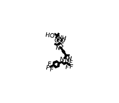 Cc1nc(C#Cc2cnn3c(C(F)(F)F)cc(-c4ccc(C(F)(F)F)cc4)nc23)sc1S(=O)(=O)NC(C)(C)CO